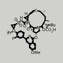 COc1ccc2c(O[C@@H]3C[C@H]4C(=O)N[C@]5(C(=O)NS(=O)(=O)C6CC6)C[C@H]5/C=C\CC[C@H](C)C[C@@H](C)[C@H](N(C(=O)O)C(C)(C)C)C(=O)N4C3)nc(-c3ccc(OC(C)C)c(F)c3)cc2c1